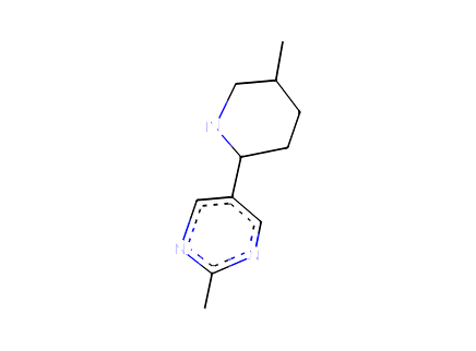 Cc1ncc(C2CCC(C)CN2)cn1